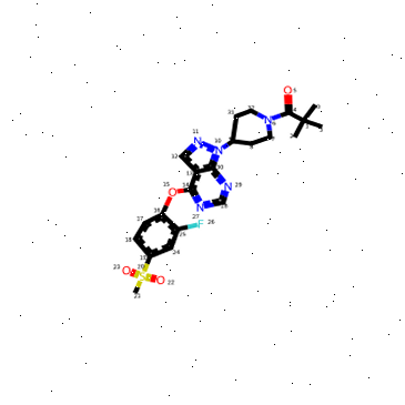 CC(C)(C)C(=O)N1CCC(n2ncc3c(Oc4ccc(S(C)(=O)=O)cc4F)ncnc32)CC1